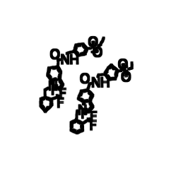 CCS(=O)(=O)c1ccc(CNC(=O)c2ccc3c(ccn3Cc3ccccc3C(F)(F)F)c2)cc1.CCS(=O)(=O)c1ccc(CNC(=O)c2ccc3c(ccn3Cc3ccccc3C(F)(F)F)c2)cc1